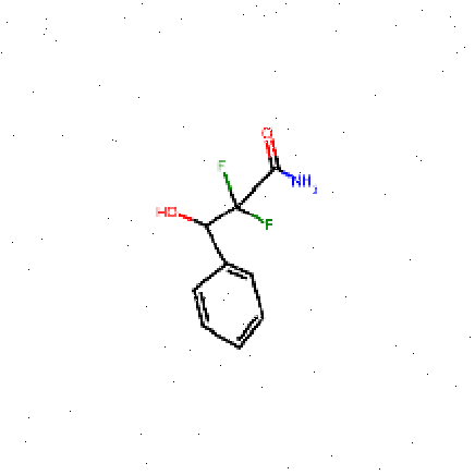 NC(=O)C(F)(F)C(O)c1ccccc1